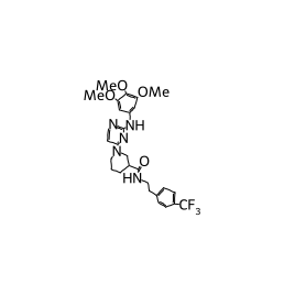 COc1cc(Nc2nccc(N3CCCC(C(=O)NCCc4ccc(C(F)(F)F)cc4)C3)n2)cc(OC)c1OC